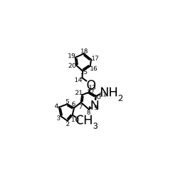 Cc1ccccc1-c1cnc(N)c(OCc2ccccc2)c1